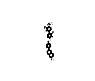 CCOc1ccc(-c2ccc(OCc3ccc(C4CCC5CC(CC)CCC5C4)cc3)c(F)c2F)c(F)c1F